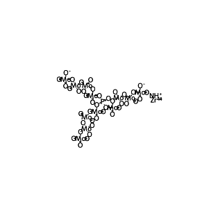 O=P([O][Mo](=[O])(=[O])[O][Mo](=[O])(=[O])[O][Mo](=[O])(=[O])[O][Mo](=[O])(=[O])[O-])([O][Mo](=[O])(=[O])[O][Mo](=[O])(=[O])[O][Mo](=[O])(=[O])[O][Mo](=[O])(=[O])[O-])[O][Mo](=[O])(=[O])[O][Mo](=[O])(=[O])[O][Mo](=[O])(=[O])[O][Mo](=[O])(=[O])[O-].[NH4+].[Zr+4]